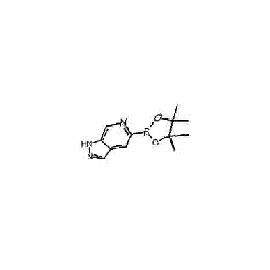 CC1(C)OB(c2cc3cn[nH]c3cn2)OC1(C)C